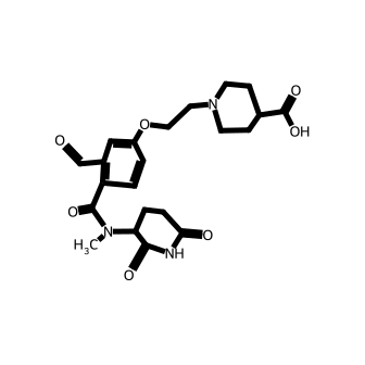 CN(C(=O)c1ccc(OCCN2CCC(C(=O)O)CC2)cc1C=O)C1CCC(=O)NC1=O